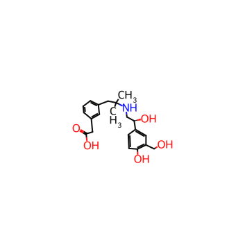 CC(C)(Cc1cccc(CC(=O)O)c1)NC[C@@H](O)c1ccc(O)c(CO)c1